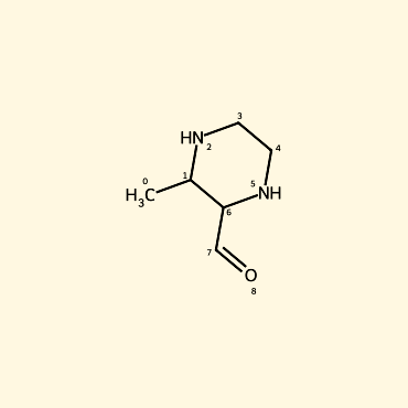 CC1NCCNC1C=O